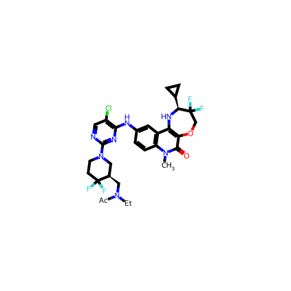 CCN(C[C@@H]1CN(c2ncc(Cl)c(Nc3ccc4c(c3)c3c(c(=O)n4C)OCC(F)(F)[C@H](C4CC4)N3)n2)CCC1(F)F)C(C)=O